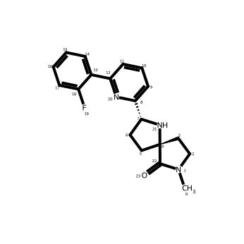 CN1CC[C@]2(CC[C@H](c3cccc(-c4ccccc4F)n3)N2)C1=O